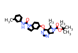 Cc1cccc(NC(=O)n2ccc3cc(Oc4ncnc5c4C(C)N(C(=O)OC(C)(C)C)C5)ccc32)c1